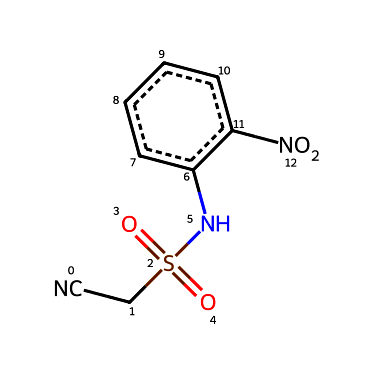 N#CCS(=O)(=O)Nc1ccccc1[N+](=O)[O-]